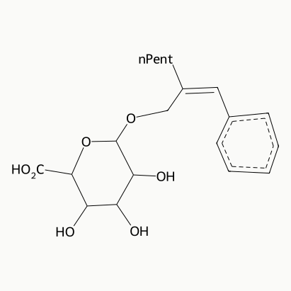 CCCCC/C(=C/c1ccccc1)COC1OC(C(=O)O)C(O)C(O)C1O